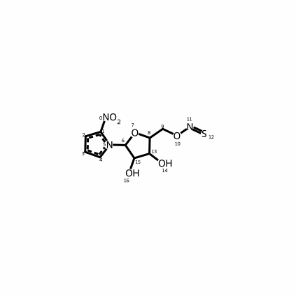 O=[N+]([O-])c1cccn1C1OC(CON=S)C(O)C1O